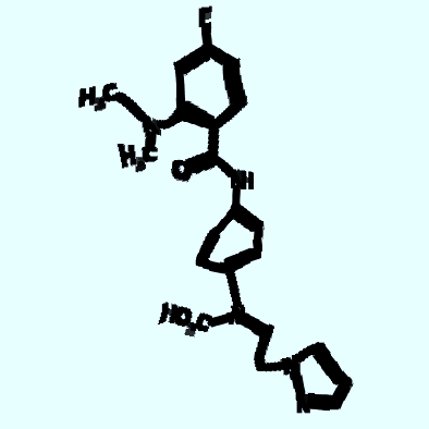 CN(C)c1cc(F)ccc1C(=O)Nc1ccc(N(CCn2cccn2)C(=O)O)cc1